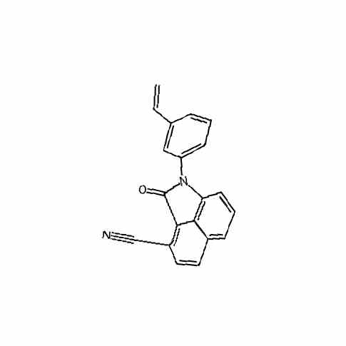 C=Cc1cccc(N2C(=O)c3c(C#N)ccc4cccc2c34)c1